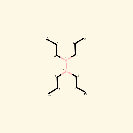 CCCB(CCC)B(CCC)CCC